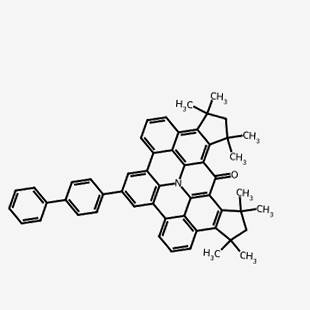 CC1(C)CC(C)(C)c2c1c1cccc3c4cc(-c5ccc(-c6ccccc6)cc5)cc5c6cccc7c8c(c9c(=O)c2c(c13)n(c45)c9c76)C(C)(C)CC8(C)C